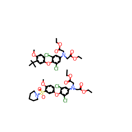 CCOC(=O)CN(CC(=O)OCC)c1cc(Cl)c(Oc2ccc(OC)c(C(C)(C)C)c2)c(Cl)c1.CCOC(=O)CN(CC(=O)OCC)c1cc(Cl)c(Oc2ccc(OC)c(S(=O)(=O)N3CCCCC3)c2)c(Cl)c1